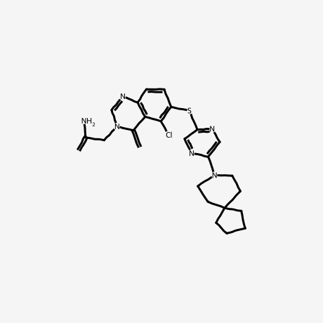 C=C(N)CN1C=Nc2ccc(Sc3cnc(N4CCC5(CCCC5)CC4)cn3)c(Cl)c2C1=C